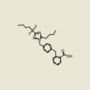 CCCCc1nc(C(F)(F)CCCC)nn1Cc1ccc(Cc2ccccc2C(=O)O)cc1